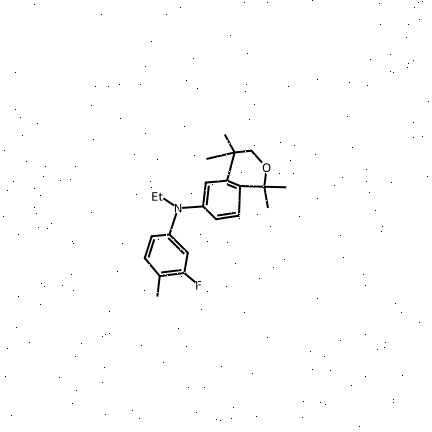 CCN(c1ccc(C)c(F)c1)c1ccc2c(c1)C(C)(C)COC2(C)C